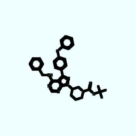 CC(C)(C)OC(=O)N1CCCC(n2nc(-c3ccc(Oc4ccccc4)cc3)c3c(NCc4ccccc4)ncnc32)C1